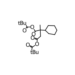 CC(C)(C)C(=O)OC(=O)CC(C)(C(=O)OC(=O)C(C)(C)C)C1CCCCC1